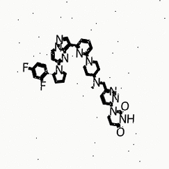 CN(Cc1ccc(N2CCC(=O)NC2=O)nn1)C1CCN(c2cccc(-c3cnn4ccc(N5CCC[C@@H]5c5ccc(F)cc5F)nc34)n2)CC1